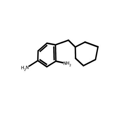 Nc1ccc(CC2CCCCC2)c(N)c1